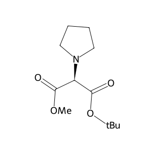 COC(=O)[C@H](C(=O)OC(C)(C)C)N1CCCC1